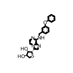 O[C@@H]1[C@H](O)CS[C@H]1c1cnc2c(NCc3cccc(Oc4ccccc4)c3)nccn12